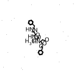 C[C@H](NC(=O)c1c[nH]c(Cc2ccccc2)n1)C(=O)NC1CC(=O)OC1OCc1ccccc1